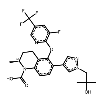 C[C@H]1CCc2c(ccc(-c3cnn(CC(C)(C)O)c3)c2Oc2ncc(C(F)(F)F)cc2F)N1C(=O)O